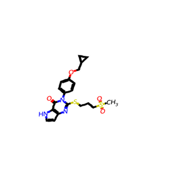 CS(=O)(=O)CCCSc1nc2cc[nH]c2c(=O)n1-c1ccc(OCC2CC2)cc1